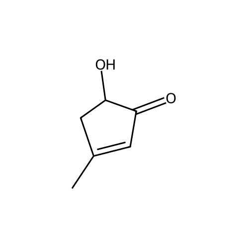 CC1=CC(=O)C(O)C1